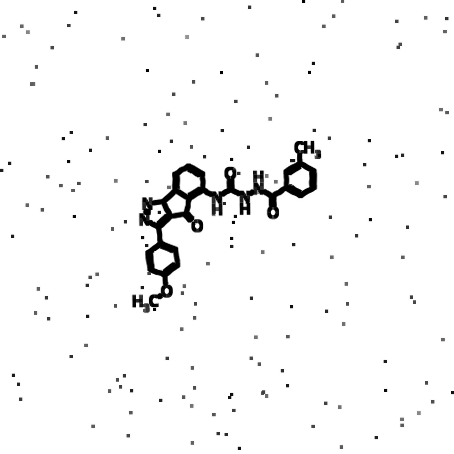 COc1ccc(C2=C3C(=O)c4c(NC(=O)NNC(=O)c5cccc(C)c5)cccc4C3N=N2)cc1